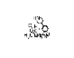 CC(C)(C)OC=O.Oc1noc2ccc(C3CCNCC3)cc12